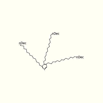 CCCCCCCCCCCCCCCCCCCCCCCc1c[c]cc(CCCCCCCCCCCCCCCCCCCCCCC)c1CCCCCCCCCCCCCCCCCCCCCCC